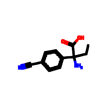 CCC(N)(C(=O)O)c1ccc(C#N)cc1